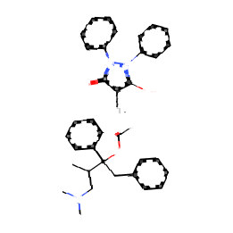 CCC(=O)OC(Cc1ccccc1)(c1ccccc1)C(C)CN(C)C.CCCCc1c(O)n(-c2ccccc2)n(-c2ccccc2)c1=O